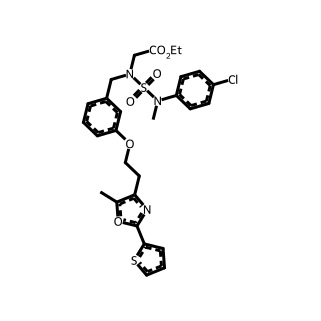 CCOC(=O)CN(Cc1cccc(OCCc2nc(-c3cccs3)oc2C)c1)S(=O)(=O)N(C)c1ccc(Cl)cc1